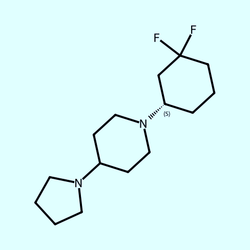 FC1(F)CCC[C@H](N2CCC(N3CCCC3)CC2)C1